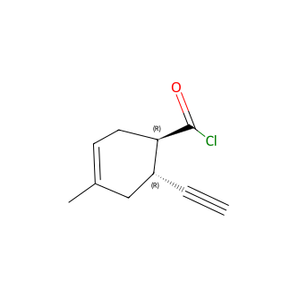 C#C[C@@H]1CC(C)=CC[C@H]1C(=O)Cl